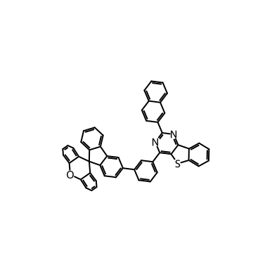 c1cc(-c2ccc3c(c2)-c2ccccc2C32c3ccccc3Oc3ccccc32)cc(-c2nc(-c3ccc4ccccc4c3)nc3c2sc2ccccc23)c1